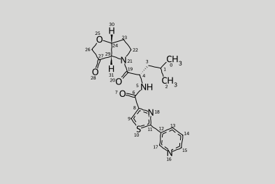 CC(C)C[C@H](NC(=O)c1csc(-c2cccnc2)n1)C(=O)N1CC[C@H]2OCC(=O)[C@H]21